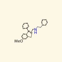 COc1ccc2c(c1)CC[C@H](CNCCc1ccccc1)[C@@H]2c1ccccc1